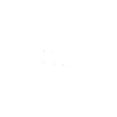 [Cu+2].[S-2].[S-2].[Sn+2]